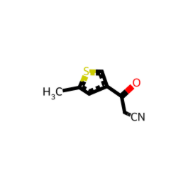 Cc1cc(C(=O)CC#N)cs1